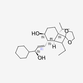 CCC1[C@H]2[C@H](/C=C/[C@@H](O)C3CCCCC3)[C@@H](O)CC[C@@]2(C(C)C)C12OCCO2